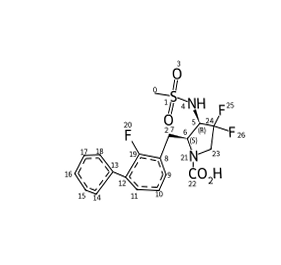 CS(=O)(=O)N[C@@H]1[C@H](Cc2cccc(-c3ccccc3)c2F)N(C(=O)O)CC1(F)F